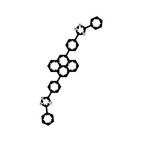 c1ccc(-c2nnc(-c3ccc(-c4cc5cccc6c(-c7ccc(-c8nnc(-c9ccccc9)o8)cc7)cc7cccc4c7c56)cc3)o2)cc1